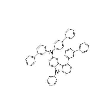 c1ccc(-c2ccc(N(c3cccc(-c4ccccc4)c3)c3ccc4c(c3)c3c(-c5cccc(-c6ccccc6)c5)cccc3n4-c3ccccc3)cc2)cc1